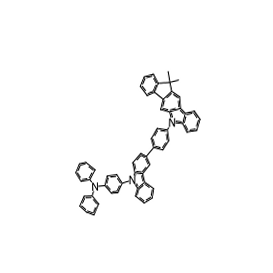 CC1(C)c2ccccc2-c2cc3c(cc21)c1ccccc1n3-c1ccc(-c2ccc3c(c2)c2ccccc2n3-c2ccc(N(c3ccccc3)c3ccccc3)cc2)cc1